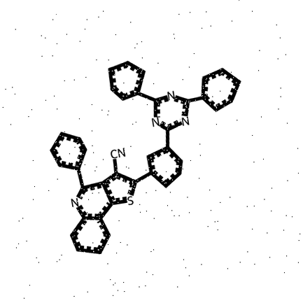 N#Cc1c(-c2cccc(-c3nc(-c4ccccc4)nc(-c4ccccc4)n3)c2)sc2c1c(-c1ccccc1)nc1ccccc12